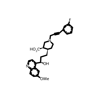 COc1ccc2nccc([C@H](O)CC[C@@H]3CCN(CC#Cc4cccc(F)c4)C[C@@H]3C(=O)O)c2c1